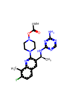 COC(=O)ON1CCN(c2nc3c(C)c(F)ccc3cc2[C@H](C)Nc2ncnc(N)n2)CC1